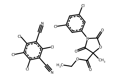 CCOC(=O)C1(C)OC(=O)N(c2cc(Cl)cc(Cl)c2)C1=O.N#Cc1c(Cl)c(Cl)c(Cl)c(C#N)c1Cl